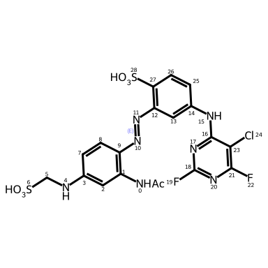 CC(=O)Nc1cc(NCS(=O)(=O)O)ccc1/N=N/c1cc(Nc2nc(F)nc(F)c2Cl)ccc1S(=O)(=O)O